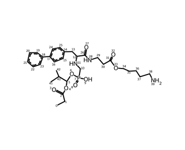 CCC(=O)OC(OP(=O)(O)CNC(Cc1ccc(-c2ccccc2)cc1)C(=O)NCCC(=O)OCCCCCN)C(C)C